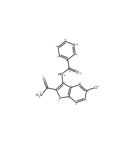 NC(=O)c1oc2ccc(Cl)cc2c1NC(=O)c1cccnc1